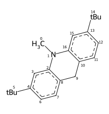 CN1c2cc(C(C)(C)C)ccc2Cc2ccc(C(C)(C)C)cc21